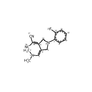 CN(C)/C=C1/CN(c2ccccc2F)CC1=C(C#N)C#N